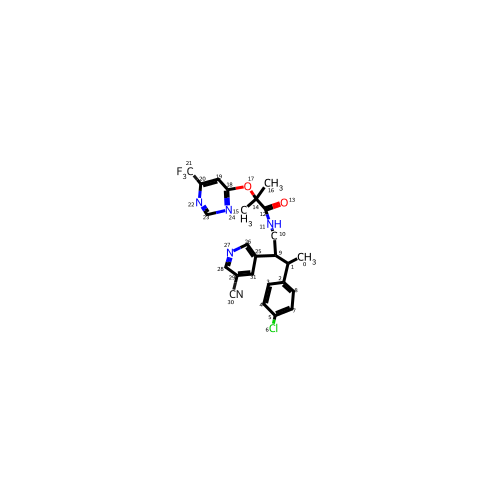 CC(c1ccc(Cl)cc1)C(CNC(=O)C(C)(C)Oc1cc(C(F)(F)F)ncn1)c1cncc(C#N)c1